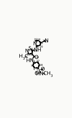 CNS(=O)(=O)c1ccc(NC(=O)c2c(C)nsc2Nc2cc(C#N)ccn2)cc1